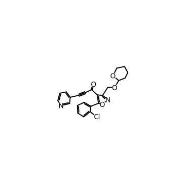 O=C(C#Cc1cccnc1)c1c(COC2CCCCO2)noc1-c1ccccc1Cl